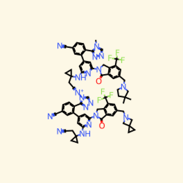 Cn1cnnc1-c1ccc(C#N)cc1-c1cc(NC2(CC#[N+]n3cnnc3-c3ccc(C#N)cc3-c3cc(NC4(CC#N)CC4)nc(N4Cc5c(cc(CN6CC7(CC7)C6)cc5C(F)(F)F)C4=O)c3)CC2)nc(N2Cc3c(cc(CN4CCC(C)(C)C4)cc3C(F)(F)F)C2=O)c1